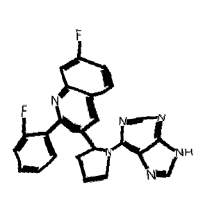 Fc1ccc2cc(C3CCCN3c3ncnc4[nH]cnc34)c(-c3ccccc3F)nc2c1